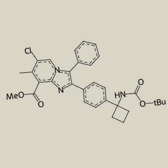 COC(=O)c1c(C)c(Cl)cn2c(-c3ccccc3)c(-c3ccc(C4(NC(=O)OC(C)(C)C)CCC4)cc3)nc12